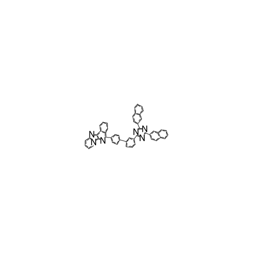 c1cc(-c2ccc(-c3nc4c(nc5ccccn54)c4ccccc34)cc2)cc(-c2nc(-c3ccc4ccccc4c3)nc(-c3ccc4ccccc4c3)n2)c1